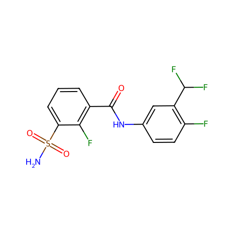 NS(=O)(=O)c1cccc(C(=O)Nc2ccc(F)c(C(F)F)c2)c1F